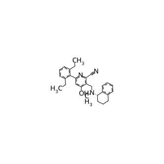 CCc1cccc(CC)c1-c1cc(O)c(CN(C)[C@H]2CCCc3ccccc32)c(C#N)n1